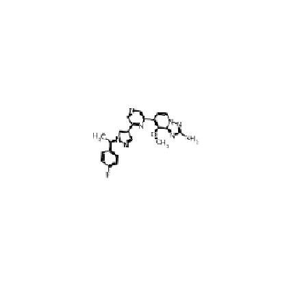 COc1c(-c2cncc(-c3cnn(C(C)c4ccc(F)cc4)c3)n2)ccn2nc(N)nc12